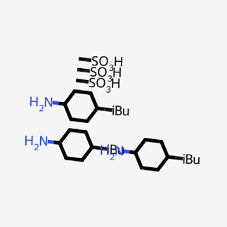 CCC(C)C1CCC(N)CC1.CCC(C)C1CCC(N)CC1.CCC(C)C1CCC(N)CC1.CS(=O)(=O)O.CS(=O)(=O)O.CS(=O)(=O)O